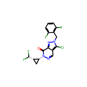 O=c1c2nn(Cc3c(F)cccc3F)c(Cl)c2cnn1[C@@H]1C[C@@H]1C(F)F